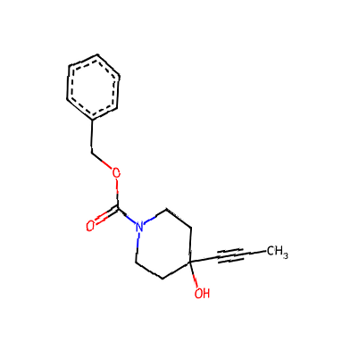 CC#CC1(O)CCN(C(=O)OCc2ccccc2)CC1